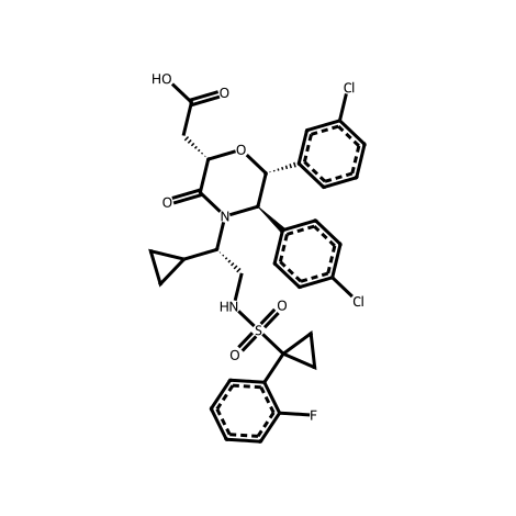 O=C(O)C[C@@H]1O[C@H](c2cccc(Cl)c2)[C@@H](c2ccc(Cl)cc2)N([C@H](CNS(=O)(=O)C2(c3ccccc3F)CC2)C2CC2)C1=O